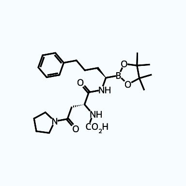 CC1(C)OB([C@H](CCCc2ccccc2)NC(=O)[C@@H](CC(=O)N2CCCC2)NC(=O)O)OC1(C)C